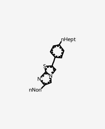 CCCCCCCCCc1cn2cc(-c3ccc(CCCCCCC)cc3)sc2n1